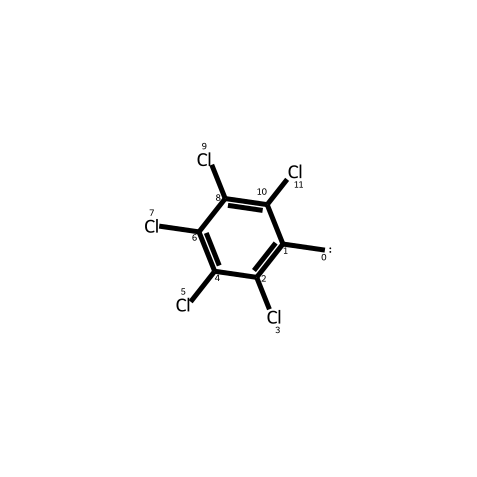 [CH]c1c(Cl)c(Cl)c(Cl)c(Cl)c1Cl